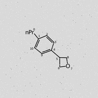 CCCc1ccc(C2COC2)cc1